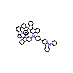 c1ccc(-n2c3ccccc3c3cc(-c4ccc(N(c5ccc6c(c5)C5(c7ccccc7-6)c6ccccc6-n6c7ccccc7c7cccc5c76)c5cc6c(c7ccccc57)-c5ccccc5C6(c5ccccc5)c5ccccc5)cc4)ccc32)cc1